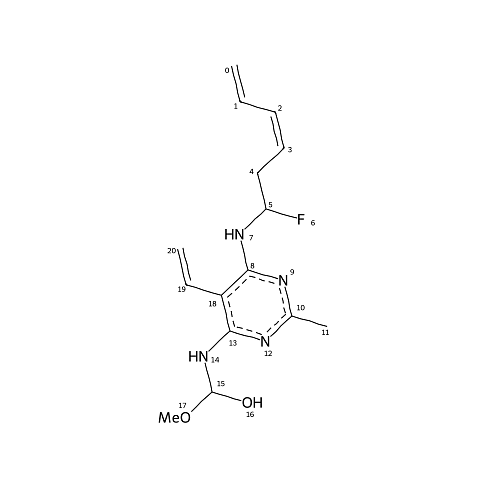 C=C/C=C\CC(F)Nc1nc(C)nc(NC(O)OC)c1C=C